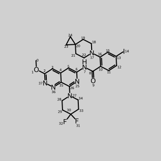 COc1cc2cc(NC(=O)c3ccc(I)cc3N3CCC4(CC3)CC4)nc(N3CCC(F)(F)CC3)c2nn1